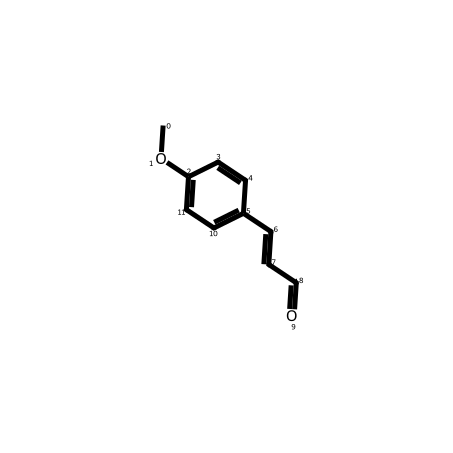 COc1ccc(C=C[C]=O)cc1